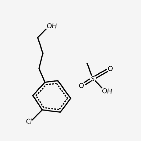 CS(=O)(=O)O.OCCCc1cccc(Cl)c1